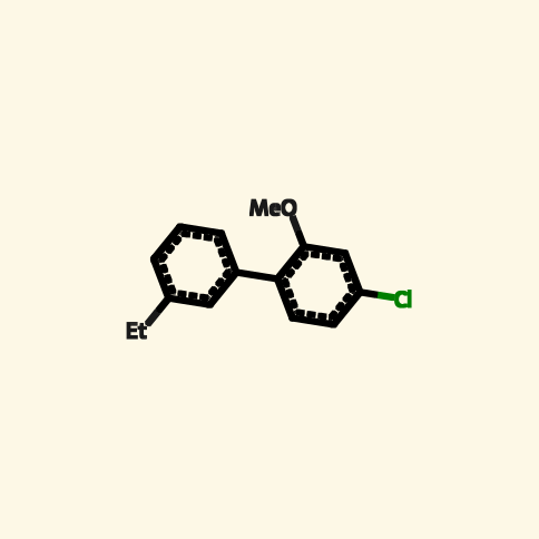 CCc1cccc(-c2ccc(Cl)cc2OC)c1